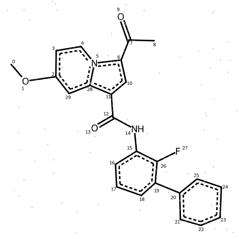 COc1ccn2c(C(C)=O)cc(C(=O)Nc3cccc(-c4ccccc4)c3F)c2c1